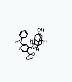 O=C(O)c1cnc(Nc2ccccc2)cc1N[C@H]1[C@@H]2C[C@H]3C[C@H]1C[C@@](O)(C3)C2